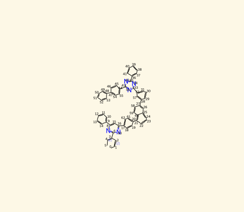 C/C=C\C(=C/C)c1nc(-c2ccccc2)cc(-c2ccc(-c3cccc4cc(-c5cccc(-c6nc(-c7ccccc7)nc(-c7ccc(-c8ccccc8)cc7)n6)c5)ccc34)cc2)n1